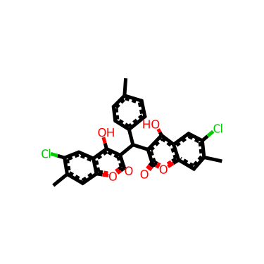 Cc1ccc(C(c2c(O)c3cc(Cl)c(C)cc3oc2=O)c2c(O)c3cc(Cl)c(C)cc3oc2=O)cc1